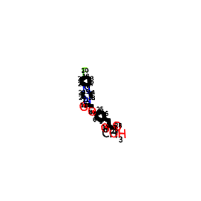 COC(Cc1ccc(OCC(=O)N2CCN(c3ccc(F)cc3)CC2)cc1)C(=O)O